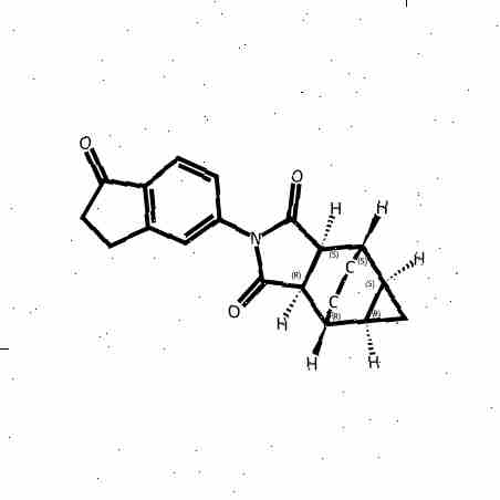 O=C1CCc2cc(N3C(=O)[C@@H]4[C@@H]5CC[C@@H]([C@H]6C[C@H]65)[C@@H]4C3=O)ccc21